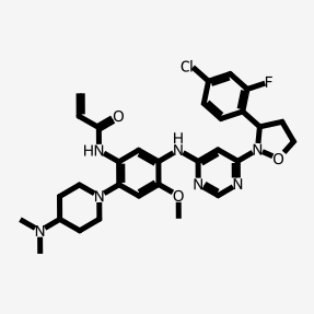 C=CC(=O)Nc1cc(Nc2cc(N3OCCC3c3ccc(Cl)cc3F)ncn2)c(OC)cc1N1CCC(N(C)C)CC1